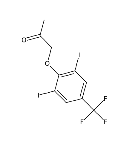 CC(=O)COc1c(I)cc(C(F)(F)F)cc1I